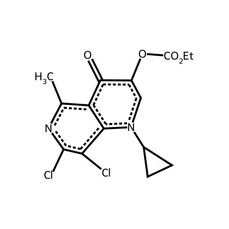 CCOC(=O)Oc1cn(C2CC2)c2c(Cl)c(Cl)nc(C)c2c1=O